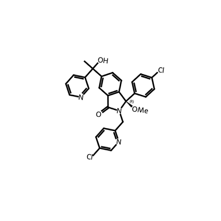 CO[C@]1(c2ccc(Cl)cc2)c2ccc(C(C)(O)c3cccnc3)cc2C(=O)N1Cc1ccc(Cl)cn1